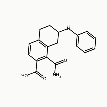 NC(=O)c1c(C(=O)O)ccc2c1CC(Nc1ccccc1)CC2